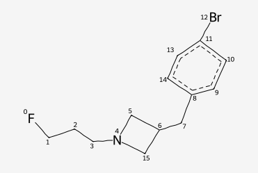 FCCCN1CC(Cc2ccc(Br)cc2)C1